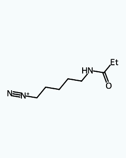 CCC(=O)NCCCCC[N+]#N